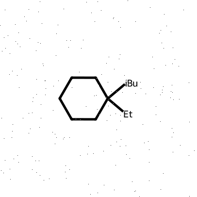 CCC(C)C1(CC)CCCCC1